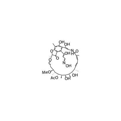 CO[C@H]1CCO[C@@]2(C)Oc3c(C)c(O)c(c(/C(O)=C/C=N/O)c3C2=O)/C(O)=C/NC(=O)/C(C)=C\C=C\[C@H](C)[C@H](O)[C@@H](C)[C@@H](O)[C@@H](C)[C@H](OC(C)=O)[C@@H]1C